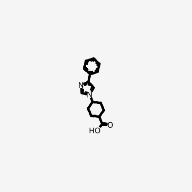 O=C(O)C1CCC(n2cnc(-c3ccccc3)c2)CC1